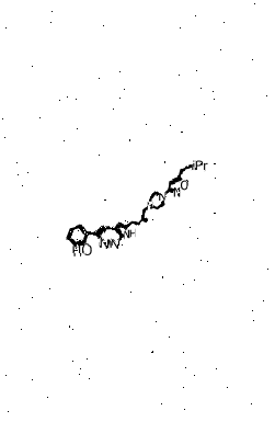 C=C(CCc1cc2cc(-c3ccccc3O)nnc2[nH]1)CN1CCN(c2cc(CC(C)C)on2)CC1